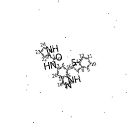 O=C(Nc1cc(-c2cc3ccccc3s2)c2[nH]ncc2c1)c1ccc[nH]1